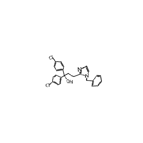 OC(CCc1nccn1Cc1ccccc1)(c1ccc(Cl)cc1)c1ccc(Cl)cc1